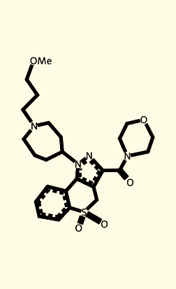 COCCCN1CCCC(n2nc(C(=O)N3CCOCC3)c3c2-c2ccccc2S(=O)(=O)C3)CC1